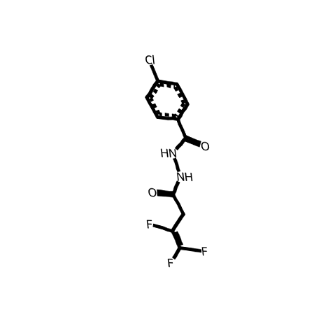 O=C(CC(F)=C(F)F)NNC(=O)c1ccc(Cl)cc1